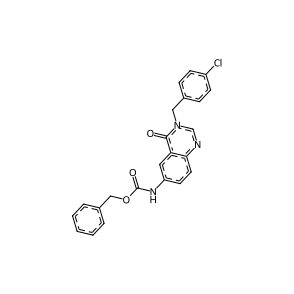 O=C(Nc1ccc2ncn(Cc3ccc(Cl)cc3)c(=O)c2c1)OCc1ccccc1